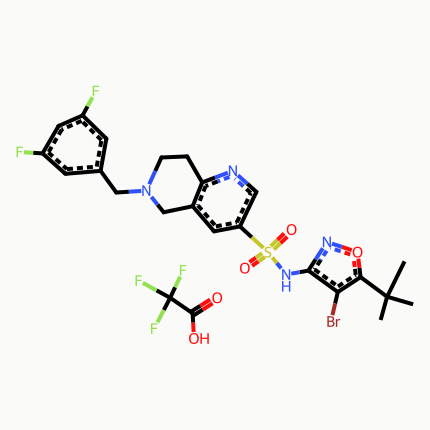 CC(C)(C)c1onc(NS(=O)(=O)c2cnc3c(c2)CN(Cc2cc(F)cc(F)c2)CC3)c1Br.O=C(O)C(F)(F)F